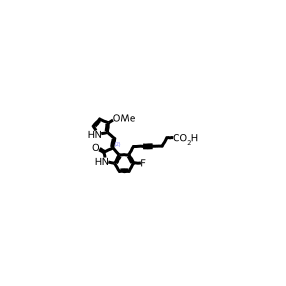 COc1cc[nH]c1/C=C1\C(=O)Nc2ccc(F)c(CC#CCCC(=O)O)c21